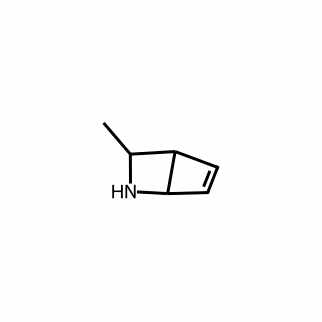 CC1NC2C=CC12